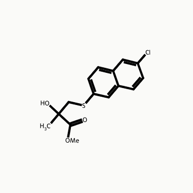 COC(=O)C(C)(O)CSc1ccc2cc(Cl)ccc2c1